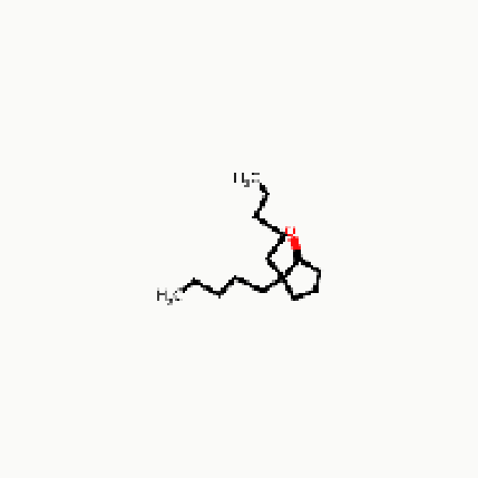 CCCCCC1(CCCCC)CCCC1=O